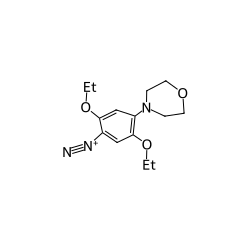 CCOc1cc(N2CCOCC2)c(OCC)cc1[N+]#N